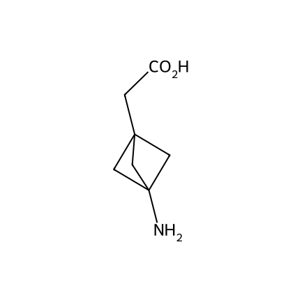 NC12CC(CC(=O)O)(C1)C2